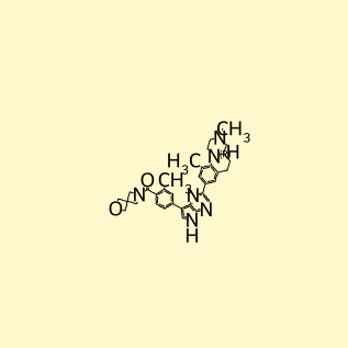 Cc1cc(-c2c[nH]c3ncc(-c4cc(C)c5c(c4)CC[C@@H]4CN(C)CCN54)nc23)ccc1C(=O)N1CC2(COC2)C1